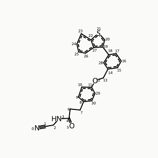 N#CCNC(=O)CCc1ccc(OCc2cccc(-c3csc4ccccc34)c2)cc1